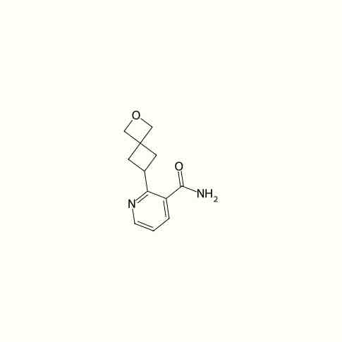 NC(=O)c1cccnc1C1CC2(COC2)C1